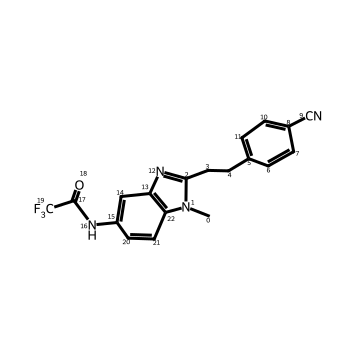 Cn1c(CCc2ccc(C#N)cc2)nc2cc(NC(=O)C(F)(F)F)ccc21